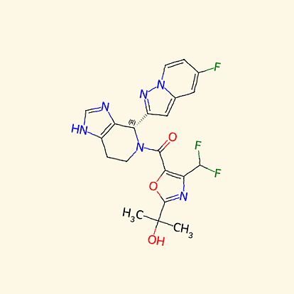 CC(C)(O)c1nc(C(F)F)c(C(=O)N2CCc3[nH]cnc3[C@@H]2c2cc3cc(F)ccn3n2)o1